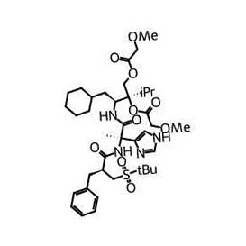 COCC(=O)OC[C@](OC(=O)COC)(C(C)C)[C@H](CC1CCCCC1)NC(=O)[C@](C)(NC(=O)[C@H](Cc1ccccc1)CS(=O)(=O)C(C)(C)C)c1c[nH]cn1